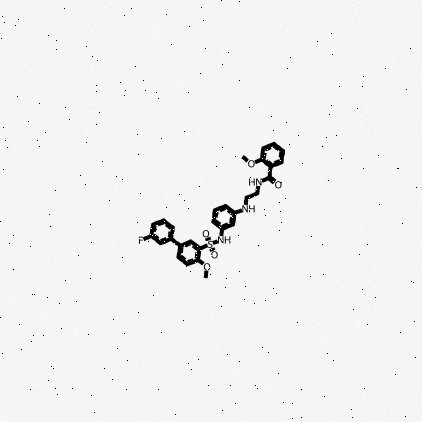 COc1ccccc1C(=O)NCCNc1cccc(NS(=O)(=O)c2cc(-c3cccc(F)c3)ccc2OC)c1